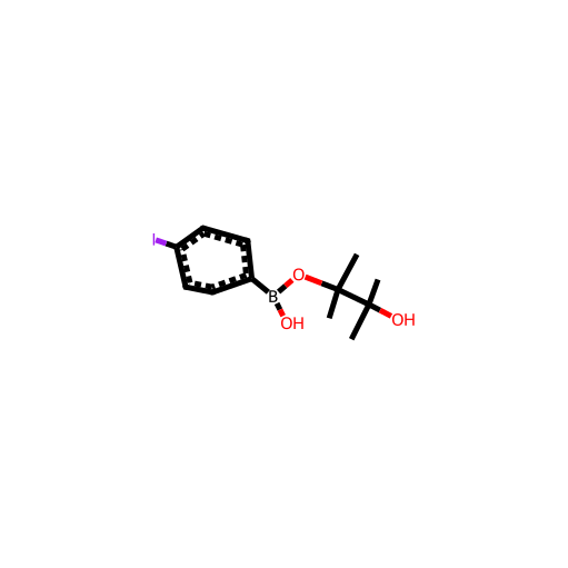 CC(C)(O)C(C)(C)OB(O)c1ccc(I)cc1